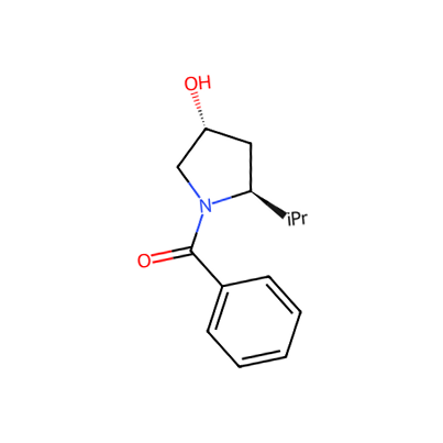 CC(C)[C@@H]1C[C@@H](O)CN1C(=O)c1ccccc1